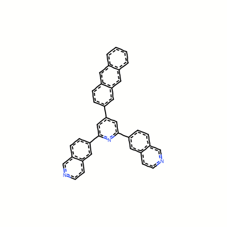 c1ccc2cc3cc(-c4cc(-c5ccc6cnccc6c5)nc(-c5ccc6cnccc6c5)c4)ccc3cc2c1